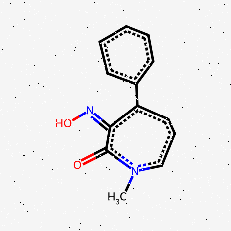 Cn1cccc(-c2ccccc2)c(=NO)c1=O